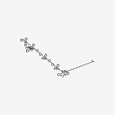 C=C(C)CCCCCCCCCCCCCCCCC(=O)NC(CCCCNC(=O)CCOCCOCCNC(=O)CCOCCOCCNC(=O)C(CCCNC(=O)CC)NC(=O)CC)C(=O)O